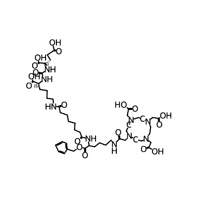 O=C(O)CC[C@H](NC(=O)N[C@@H](CCCCNC(=O)CCCCCCC(=O)NC(CCCCNC(=O)CN1CCN(CC(=O)O)CCN(CC(=O)O)CCN(CC(=O)O)CC1)C(=O)OCc1ccccc1)C(=O)O)C(=O)O